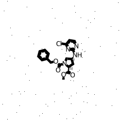 COC(=O)[C@@H]1C[C@H](Nc2nccc(Cl)n2)CN1C(=O)OCc1ccccc1